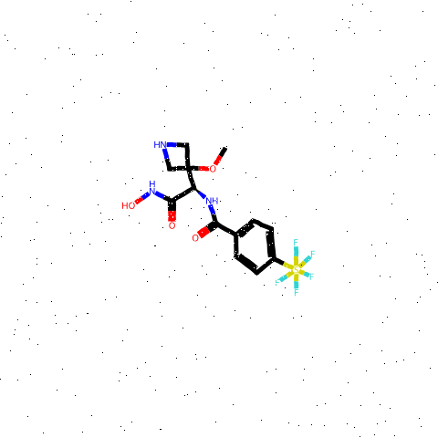 COC1([C@@H](NC(=O)c2ccc(S(F)(F)(F)(F)F)cc2)C(=O)NO)CNC1